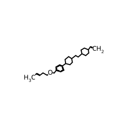 C=CC1CCC(CCC2CCC(c3ccc(COCCC=CC)cc3)CC2)CC1